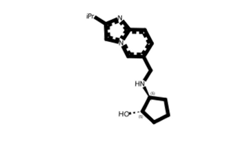 CC(C)c1cn2cc(CN[C@H]3CCC[C@@H]3O)ccc2n1